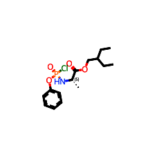 CCC(CC)COC(=O)[C@H](C)NP(=O)(Cl)Oc1ccccc1